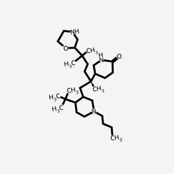 CCCCN1CCC(C(C)(C)C)C(C[C@](C)(CCC(C)(C)C2CNCCO2)C2CCC(=O)NC2)C1